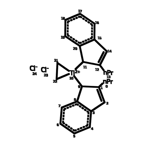 CCCC1=Cc2ccccc2[CH]1[Ti+2]1([CH]2C(CCC)=Cc3ccccc32)[CH2][CH2]1.[Cl-].[Cl-]